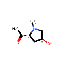 CC(=O)[C@H]1C[C@H](O)CN1C